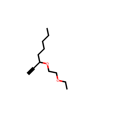 C#CC(CCCCC)OCCOCC